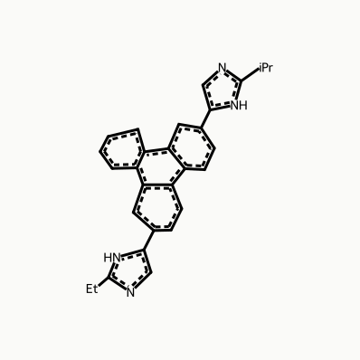 CCc1ncc(-c2ccc3c4ccc(-c5cnc(C(C)C)[nH]5)cc4c4ccccc4c3c2)[nH]1